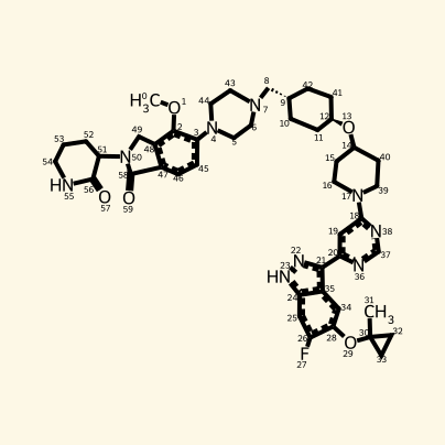 COc1c(N2CCN(C[C@H]3CC[C@H](OC4CCN(c5cc(-c6n[nH]c7cc(F)c(OC8(C)CC8)cc67)ncn5)CC4)CC3)CC2)ccc2c1CN(C1CCCNC1=O)C2=O